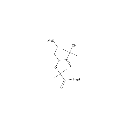 CCCCCCCC(=O)C(C)(C)OC(CCSC)C(=O)C(C)(C)O